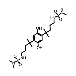 CN(C)S(=O)(=O)NCCCC(C)(C)c1cc(O)c(C(C)(C)CCCNS(=O)(=O)N(C)C)cc1O